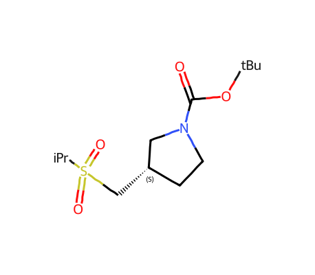 CC(C)S(=O)(=O)C[C@H]1CCN(C(=O)OC(C)(C)C)C1